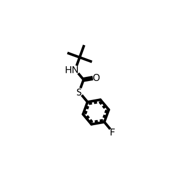 CC(C)(C)NC(=O)Sc1ccc(F)cc1